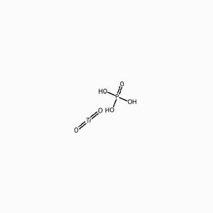 O=P(O)(O)O.[O]=[Ti]=[O]